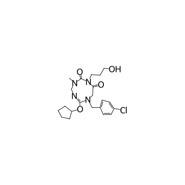 CN1C/N=C(/OC2CCCC2)N(Cc2ccc(Cl)cc2)CC(=O)N(CCCO)C1=O